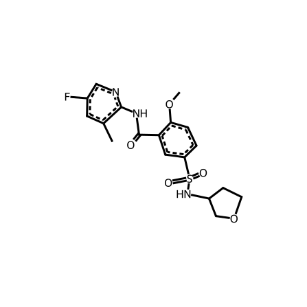 COc1ccc(S(=O)(=O)NC2CCOC2)cc1C(=O)Nc1ncc(F)cc1C